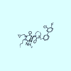 CCCC[C@H](C(N)=O)[C@@H](CC1CC1)C(=O)N[C@H]1CCCCN(Cc2cccc(-c3ccc(F)c(Cl)c3)c2)C1=O